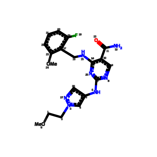 COCCn1cc(Nc2ncc(C(N)=O)c(NCc3c(F)cccc3OC)n2)cn1